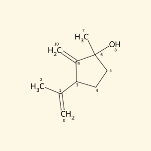 C=C(C)C1CCC(C)(O)C1=C